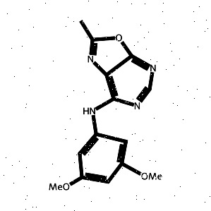 COc1cc(Nc2ncnc3oc(C)nc23)cc(OC)c1